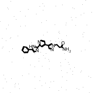 NC(=O)CCn1cc(-c2ccnc(-c3ncc(-c4ccccc4)[nH]3)c2)cn1